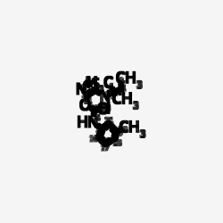 CCC(C)(C)Nc1scnc1OC(=O)Nc1cccc(C)c1